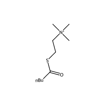 CCCCC(=O)SCC[N+](C)(C)C